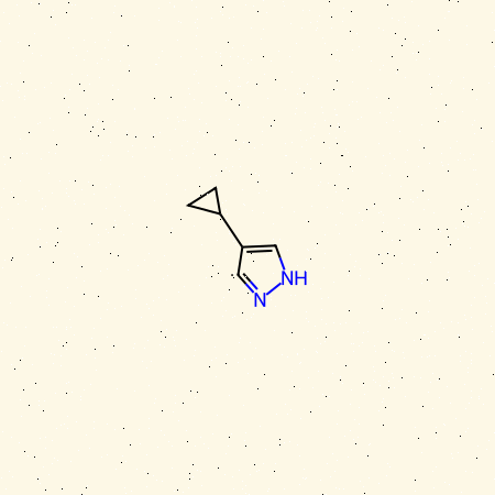 [c]1n[nH]cc1C1CC1